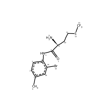 Cc1ccc(NC(=O)[C@@H](N)CCSC(F)(F)F)c(Br)c1